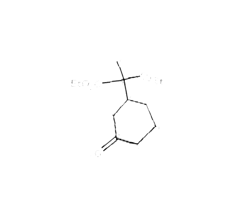 CCOC(=O)C(C)(C(=O)OCC)C1CCCC(=O)C1